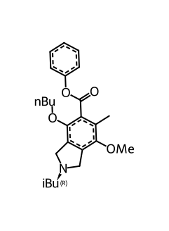 CCCCOc1c2c(c(OC)c(C)c1C(=O)Oc1ccccc1)CN([C@H](C)CC)C2